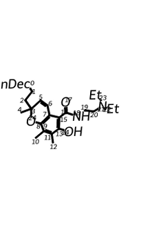 CCCCCCCCCCCCC1(C)C=Cc2c(c(C)c(C)c(O)c2C(=O)NCCN(CC)CC)O1